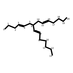 CCCC=CC[C](C=CCCCCC)CC=CCCCC